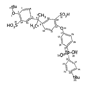 CC(C)(C)Oc1ccc(C(C)(C)c2ccc(Oc3ccc(P(=O)(O)c4ccc(C(C)(C)C)cc4)cc3)c(S(=O)(=O)O)c2)cc1S(=O)(=O)O